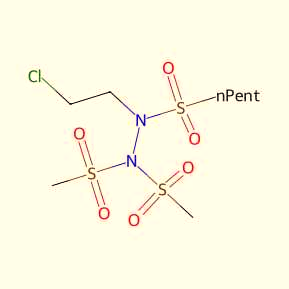 CCCCCS(=O)(=O)N(CCCl)N(S(C)(=O)=O)S(C)(=O)=O